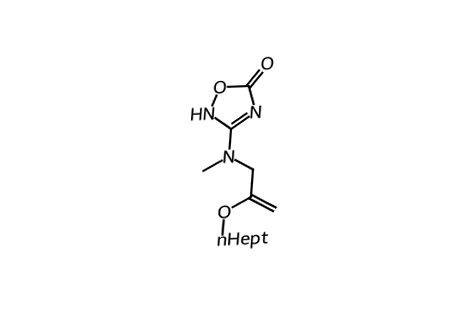 C=C(CN(C)c1nc(=O)o[nH]1)OCCCCCCC